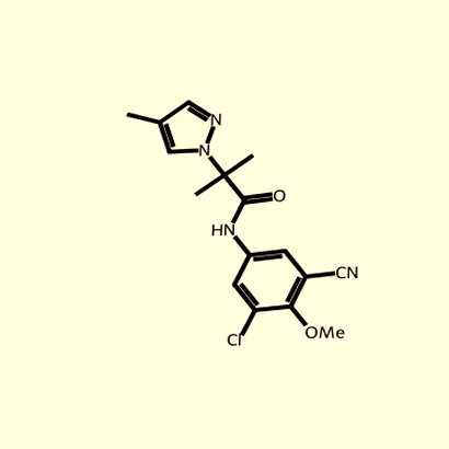 COc1c(Cl)cc(NC(=O)C(C)(C)n2cc(C)cn2)cc1C#N